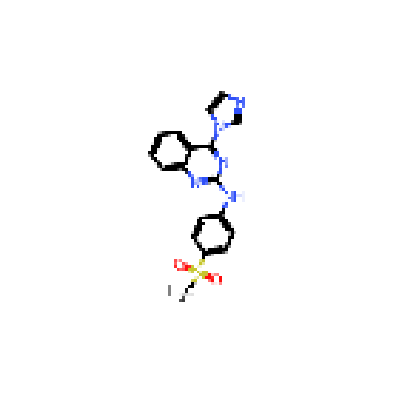 CS(=O)(=O)c1ccc(Nc2nc(-n3ccnc3)c3ccccc3n2)cc1